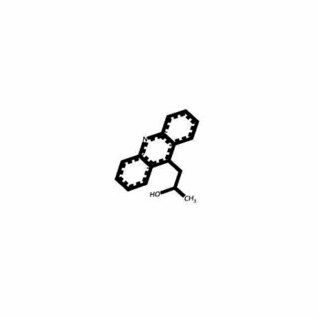 CC(O)Cc1c2ccccc2nc2ccccc12